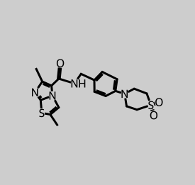 Cc1cn2c(C(=O)NCc3ccc(N4CCS(=O)(=O)CC4)cc3)c(C)nc2s1